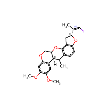 COc1cc2c(cc1OC)[C@H]1C(CO2)Oc2c(ccc3c2C[C@H](/C(C)=C\I)O3)C1C